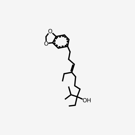 CC/C(=C\CCc1ccc2c(c1)OCO2)CCCC(O)(CC)C(C)C